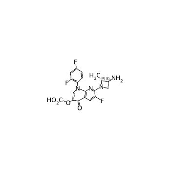 C[C@@H]1[C@@H](N)CN1c1nc2c(cc1F)c(=O)c(OC(=O)O)cn2-c1ccc(F)cc1F